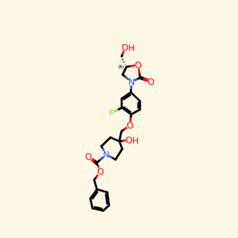 O=C(OCc1ccccc1)N1CCC(O)(COc2ccc(N3C[C@H](CO)OC3=O)cc2F)CC1